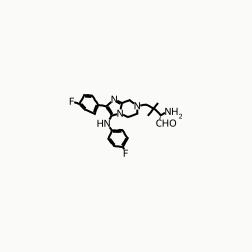 CC(C)(CN1CCn2c(nc(-c3ccc(F)cc3)c2Nc2ccc(F)cc2)C1)[C@H](N)C=O